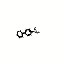 O=S(O)c1ccc(C2CCCCC2)cc1